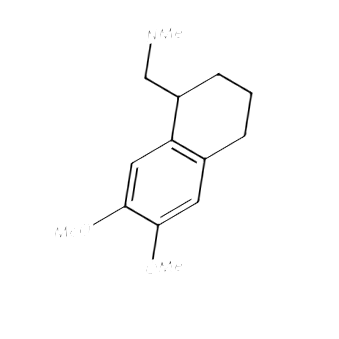 CNCC1CCCc2cc(OC)c(OC)cc21